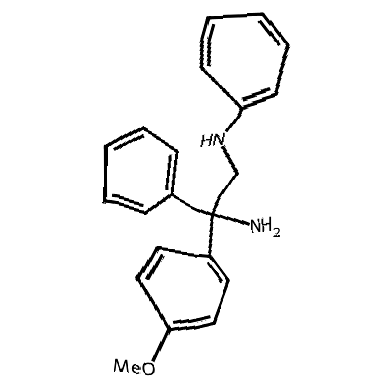 COc1ccc(C(N)(CNc2ccccc2)c2ccccc2)cc1